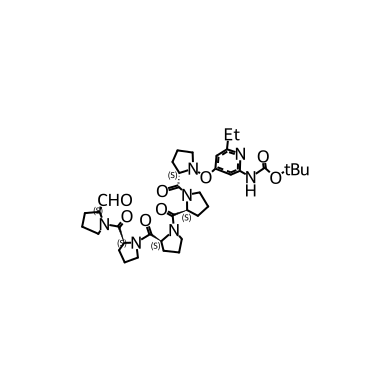 CCc1cc(ON2CCC[C@H]2C(=O)N2CCC[C@H]2C(=O)N2CCC[C@H]2C(=O)N2CCC[C@H]2C(=O)N2CCC[C@H]2C=O)cc(NC(=O)OC(C)(C)C)n1